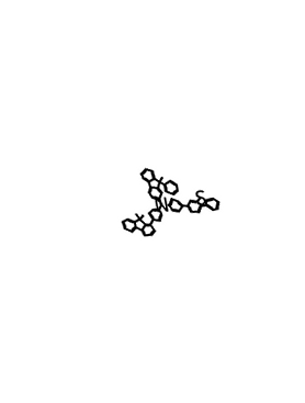 CC1(C)c2ccccc2-c2cccc(-c3ccc(N(c4ccc(-c5ccc6c(c5)sc5ccccc56)cc4)c4ccc5c(c4)C(C)(c4ccccc4)c4ccccc4-5)cc3)c21